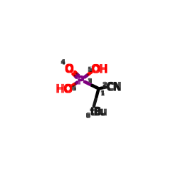 CC(C)(C)C(C#N)P(=O)(O)O